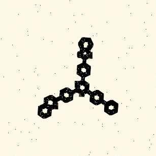 c1ccc(-c2ccc(-c3cc(-c4ccc(-c5nc6ccccc6o5)cc4)nc(-c4ccc(-c5ccc6ccccc6n5)cc4)n3)cc2)cc1